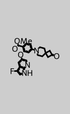 COC(=O)c1ccc(N2CCC3(CC2)CC(=O)C3)cc1Oc1cnc2[nH]cc(F)c2c1